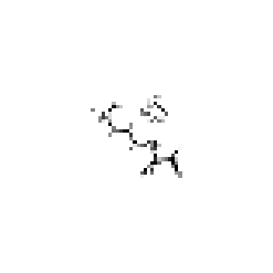 C=C(C)C(=O)NCCCN(C)C.CC(C)=O.CC(C)=O